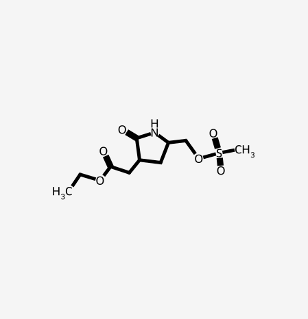 CCOC(=O)CC1CC(COS(C)(=O)=O)NC1=O